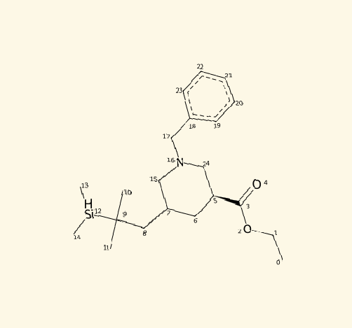 CCOC(=O)[C@H]1CC(CC(C)(C)[SiH](C)C)CN(Cc2ccccc2)C1